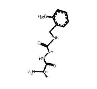 COc1ccccc1CNC(=O)NNC(=O)[C@@H](C)N